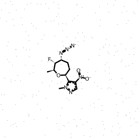 C[C@@H]1O[C@H](c2c([N+](=O)[O-])cnn2C)CC[C@@H](N=[N+]=[N-])[C@H]1F